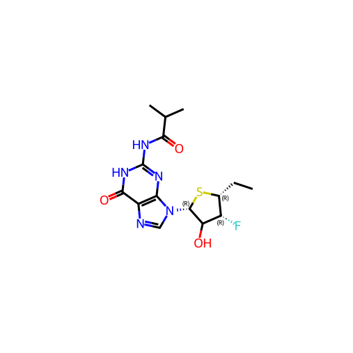 CC[C@H]1S[C@@H](n2cnc3c(=O)[nH]c(NC(=O)C(C)C)nc32)C(O)[C@H]1F